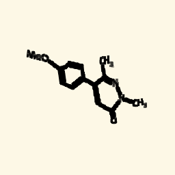 COc1ccc(-c2cc(=O)n(C)nc2C)cc1